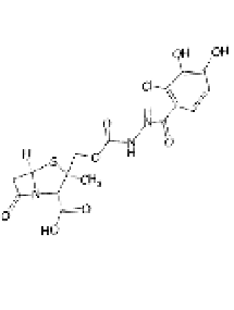 C[C@@]1(COC(=O)NNC(=O)c2ccc(O)c(O)c2Cl)S[C@@H]2CC(=O)N2[C@H]1C(=O)O